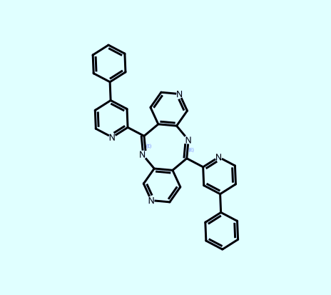 c1ccc(-c2ccnc(/C3=N/c4cnccc4/C(c4cc(-c5ccccc5)ccn4)=N\c4cnccc43)c2)cc1